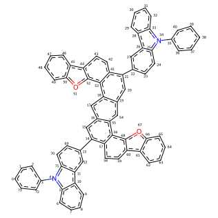 c1ccc(-n2c3ccccc3c3cc(-c4cc5cc6c(cc(-c7ccc8c(c7)c7ccccc7n8-c7ccccc7)c7ccc8c9ccccc9oc8c76)cc5c5c4ccc4c6ccccc6oc45)ccc32)cc1